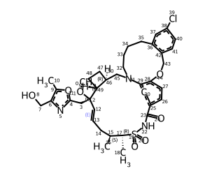 CO[C@@]1(Cc2nc(CO)c(C)o2)/C=C/C[C@H](C)[C@@H](C)S(=O)(=O)NC(=O)c2ccc3c(c2)N(CCCCc2cc(Cl)ccc2CO3)C[C@@H]2CC[C@H]21